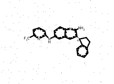 Nc1nc2ccc(Nc3cccc(C(F)(F)F)n3)cc2cc1[C@@H]1CCc2ccccc21